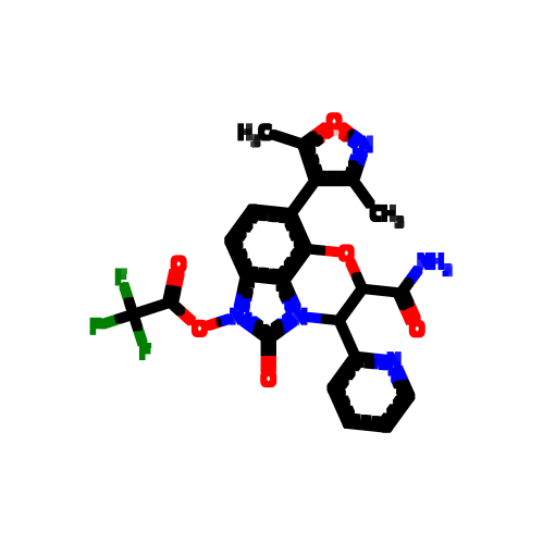 Cc1noc(C)c1-c1ccc2c3c1OC(C(N)=O)C(c1ccccn1)n3c(=O)n2OC(=O)C(F)(F)F